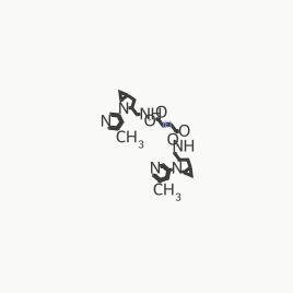 Cc1cncc(N2C(CNOC(=O)/C=C/C(=O)ONCC3CC4CC4N3c3cncc(C)c3)CC3CC32)c1